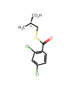 C[C@H](CSC(=O)c1ccc(Cl)cc1Cl)C(=O)O